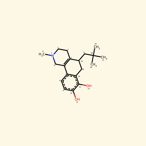 CN1CCC2=C(C1)c1ccc(O)c(O)c1CC2CC(C)(C)C